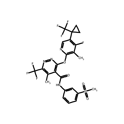 Cc1c(Oc2nnc(C(F)(F)F)c(C)c2C(=O)Nc2cccc(S(C)(=O)=O)c2)ncc(C2(C(F)(F)F)CC2)c1F